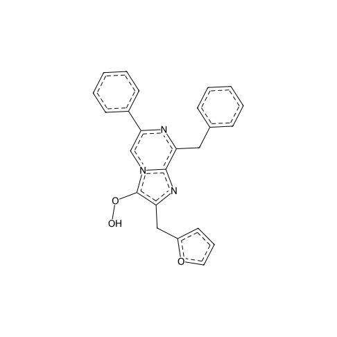 OOc1c(Cc2ccco2)nc2c(Cc3ccccc3)nc(-c3ccccc3)cn12